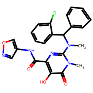 CN(c1nc(C(=O)Nc2cnoc2)c(O)c(=O)n1C)C(c1ccccc1)c1ccccc1Cl